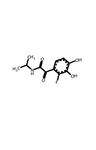 CC(C)NC(=O)C(=O)c1ccc(O)c(O)c1F